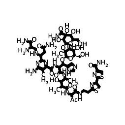 CC(=O)C(NC(=O)C(C)C(O)C(C)NC(=O)C(NC(=O)c1nc(C(CC(N)=O)NCC(N)C(N)=O)nc(N)c1C)C(O[C@@H]1O[C@@H](CO)[C@@H](O)[C@H](O)[C@]1(C)O[C@@H]1OC(CO)[C@H](O)[C@](O)(C(N)=O)[C@H]1O)c1cnc[nH]1)C(=O)NCCC1=NC(c2nc(C(N)=O)cs2)CS1